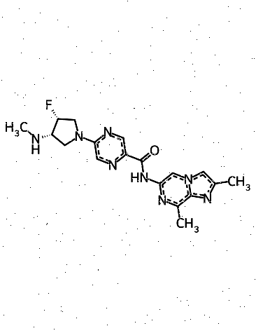 CN[C@H]1CN(c2cnc(C(=O)Nc3cn4cc(C)nc4c(C)n3)cn2)C[C@H]1F